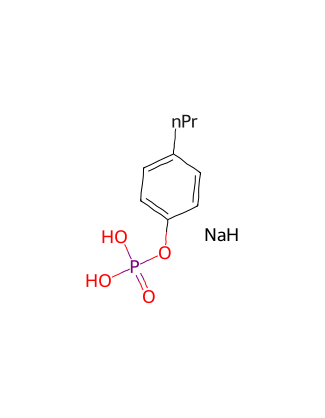 CCCc1ccc(OP(=O)(O)O)cc1.[NaH]